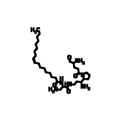 CCCCCCCC/C=C\CCCCCCCC(=O)NC(CN)C(=O)NCCC(N)C1CCCN1C(=O)CCC(N)C=O